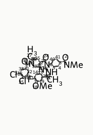 CNC(=O)c1ccc(-n2c(N[C@H](C)c3ccc(F)c(OC)c3)nc3c(c2=O)C[C@@H](C)N(C(=O)c2ccc(Cl)c(Cl)c2)C3)cc1